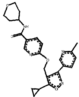 Cc1ccc(-c2noc(C3CC3)c2COc2ccc(C(=O)NC3CCOCC3)cn2)cn1